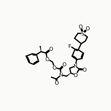 CC(=O)N(C[C@H]1CN(c2ccc(C3CCS(=O)(=O)CC3)c(F)c2)C(=O)O1)C(=O)OCOC(=O)[C@H](C)c1ccccc1